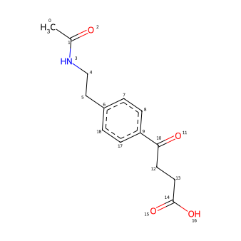 CC(=O)NCCc1ccc(C(=O)CCC(=O)O)cc1